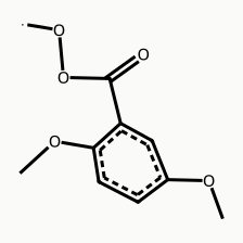 [CH2]OOC(=O)c1cc(OC)ccc1OC